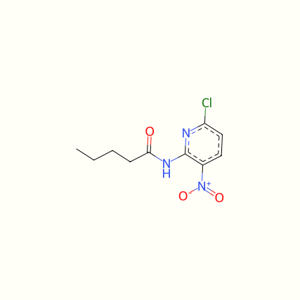 CCCCC(=O)Nc1nc(Cl)ccc1[N+](=O)[O-]